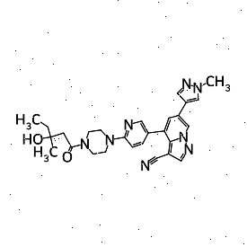 CCC(C)(O)CC(=O)N1CCN(c2ccc(-c3cc(-c4cnn(C)c4)cn4ncc(C#N)c34)cn2)CC1